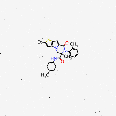 CCc1cc2c(cc3n2CC(C)(C(=O)NC2CCC(C)CC2)N(c2ccccc2C)C3=O)s1